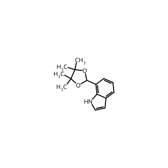 CC1(C)OC(c2cccc3cc[nH]c23)OC1(C)C